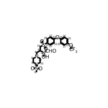 CS(=O)(=O)N1CCN(CC(CS(=O)(=O)c2ccc(Oc3ccc(OC(F)(F)F)cc3)cc2)N(O)C=O)CC1